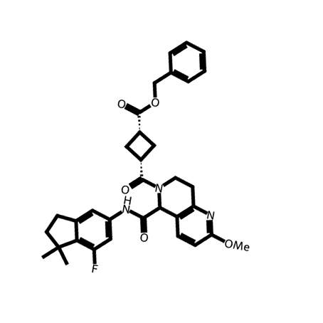 COc1ccc2c(n1)CCN(C(=O)[C@H]1C[C@@H](C(=O)OCc3ccccc3)C1)C2C(=O)Nc1cc(F)c2c(c1)CCC2(C)C